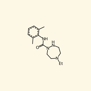 CCN1CCNN(C(=O)Nc2c(C)cccc2C)CC1